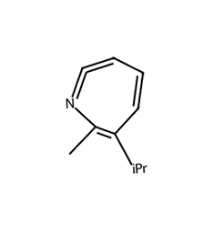 CC1=C(C(C)C)C=CC=C=N1